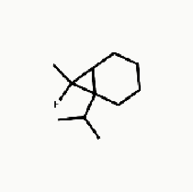 CC(C)C12CCCCC1C2(C)F